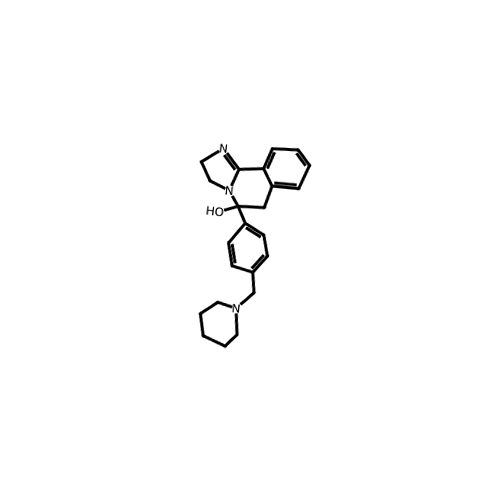 OC1(c2ccc(CN3CCCCC3)cc2)Cc2ccccc2C2=NCCN21